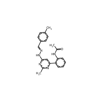 CC(=O)Nc1ccccc1-c1cc(N/N=C/c2ccc(C)cc2)nc(C)n1